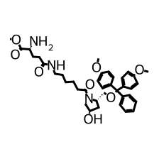 COC(=O)[C@H](N)CCC(=O)NCCCCCC(=O)N1C[C@H](O)C[C@H]1COC(c1ccccc1)(c1ccc(OC)cc1)c1ccc(OC)cc1